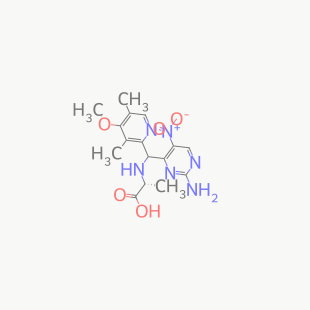 COc1c(C)cnc(C(N[C@H](C)C(=O)O)c2nc(N)ncc2[N+](=O)[O-])c1C